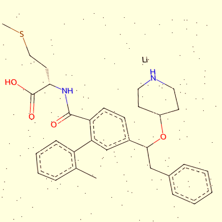 CSCC[C@H](NC(=O)c1ccc(C(Cc2ccccc2)OC2CCNCC2)cc1-c1ccccc1C)C(=O)O.[Li]